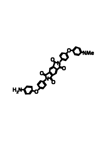 CNc1ccc(Oc2ccc(-n3c(=O)c4cc5c(=O)n(-c6ccc(Oc7ccc(N)cc7)cc6)c(=O)c5cc4c3=O)cc2)cc1